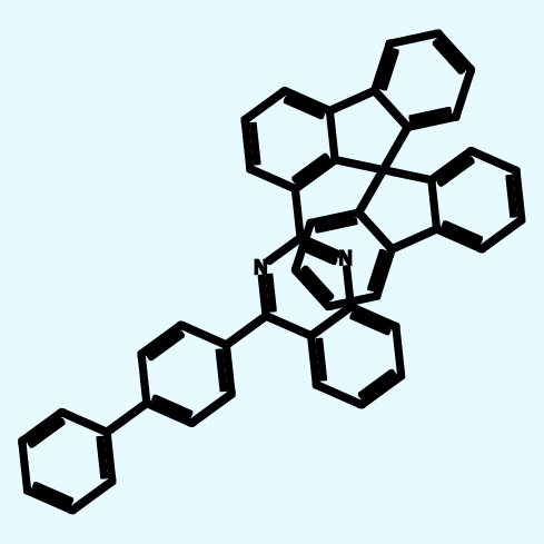 c1ccc(-c2ccc(-c3nc(-c4cccc5c4C4(c6ccccc6-c6ccccc64)c4ccccc4-5)nc4ccccc34)cc2)cc1